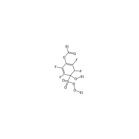 CCOOS(=O)(=O)C1(OCC)C(F)=C(F)C(OC(=O)CC)=C(F)C1F